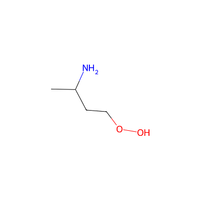 CC(N)CCOO